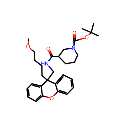 COCCCCC1(CNC(=O)C2CCCN(C(=O)OC(C)(C)C)C2)c2ccccc2Oc2ccccc21